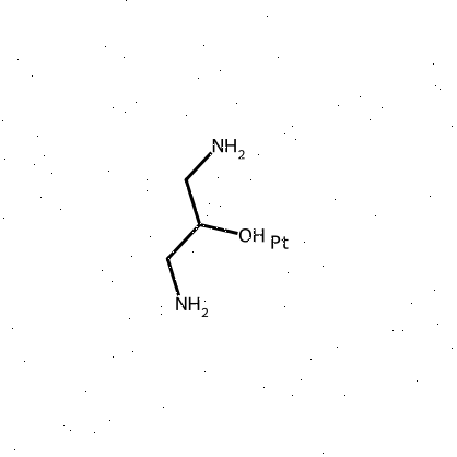 NCC(O)CN.[Pt]